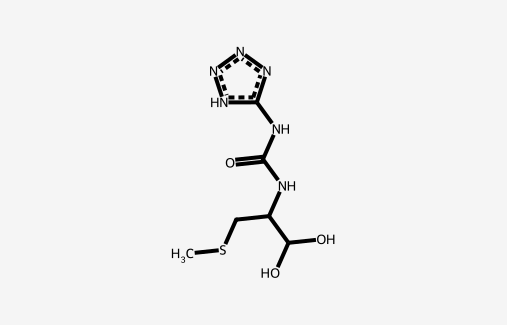 CSCC(NC(=O)Nc1nnn[nH]1)C(O)O